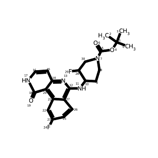 CC(C)(C)OC(=O)N1CCC(Nc2nc3cc[nH]c(=O)c3c3cc(F)ccc23)C(F)C1